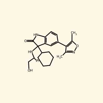 Cc1noc(C)c1-c1ccc2c(c1)C(NC(CO)C(C)C)(C1CCCCC1)C(=O)N2